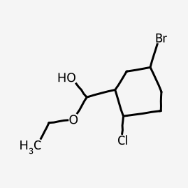 CCOC(O)C1CC(Br)CCC1Cl